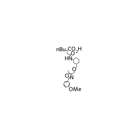 CCCCC(CC(=O)NC1CCCC(COCc2nc(-c3cccc(OC)c3)oc2C)C1)C(=O)O